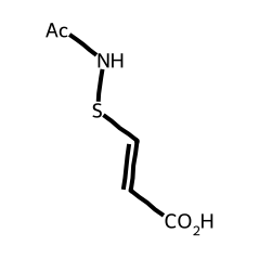 CC(=O)NSC=CC(=O)O